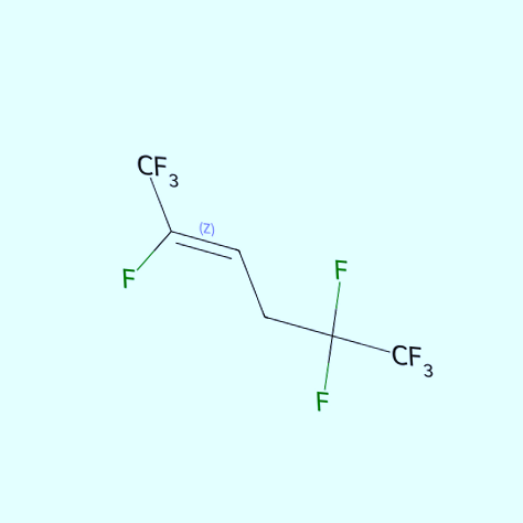 F/C(=C\CC(F)(F)C(F)(F)F)C(F)(F)F